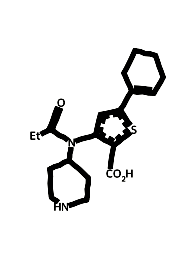 CCC(=O)N(c1cc(C2=CCCCC2)sc1C(=O)O)C1CCNCC1